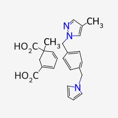 CC1(C(=O)O)C=CC=C(C(=O)O)C1.Cc1cnn(Cc2ccc(Cn3cccc3)cc2)c1